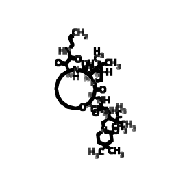 C=CCNC(=O)C(=O)[C@@H]1CCCCCCCO[C@@H](C)[C@H](NC(=O)N[C@H](CN2CCC(C)(C)CC2=O)C(C)(C)C)C(=O)N2C[C@H]3[C@@H]([C@H]2C(=O)N1)C3(C)C